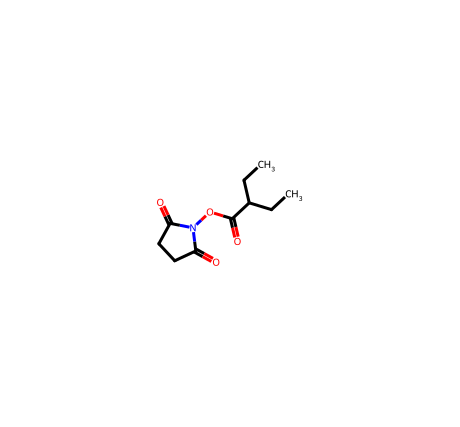 CCC(CC)C(=O)ON1C(=O)CCC1=O